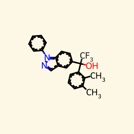 Cc1cccc(C(O)(c2ccc3c(cnn3-c3ccccc3)c2)C(F)(F)F)c1C